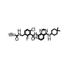 CC1(C)CCC(Nc2ncnc3c(NC(=O)c4c(Cl)ccc(CNC(=O)C(C)(C)C)c4F)cccc23)CC1